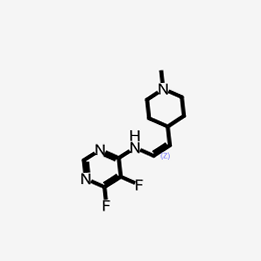 CN1CCC(/C=C\Nc2ncnc(F)c2F)CC1